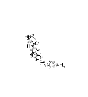 NC1C2CN(CCCc3ccc(-n4ccc(NC(=O)N5CCNCC5)nc4=O)cc3)CC12